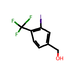 OCc1ccc(C(F)(F)F)c(I)c1